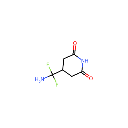 NC(F)(F)C1CC(=O)NC(=O)C1